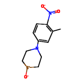 Cc1cc(N2CC[S+]([O-])CC2)ccc1[N+](=O)[O-]